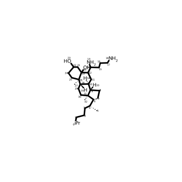 CC(C)CCC[C@@H](C)[C@H]1CC[C@H]2[C@@H]3CC(C(N)CCCN)C4(O)CC(O)CC[C@]4(C)[C@H]3CC[C@]12C